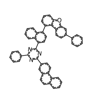 c1ccc(-c2ccc3c(c2)oc2cccc(-c4ccc(-c5nc(-c6ccccc6)nc(-c6ccc7c(ccc8ccccc87)c6)n5)c5ccccc45)c23)cc1